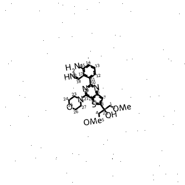 COCC(O)(COC)c1cc2nc(-c3cccc(N)c3C=N)nc(N3CCOCC3)c2s1